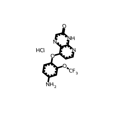 Cl.Nc1ccc(Oc2ccnc3[nH]c(=O)cnc23)c(OC(F)(F)F)c1